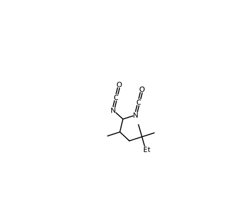 CCC(C)(C)CC(C)C(N=C=O)N=C=O